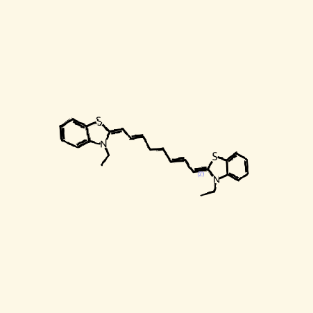 CCN1C(=CC=CCCC=C/C=C2\Sc3ccccc3N2CC)Sc2ccccc21